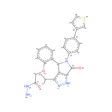 CC(C)c1n[nH]c2c1C(c1ccccc1OCC(=O)NN)N(c1ccc(-c3ccsc3)cc1)C2=O